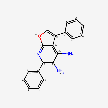 Nc1c(-c2ccccc2)nc2occ(-c3ccccc3)c2c1N